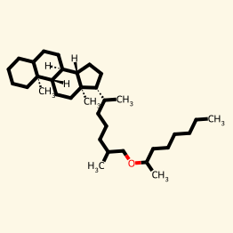 CCCCCCC(C)OCC(C)CCCC(C)[C@H]1CC[C@H]2[C@@H]3CCC4CCCC[C@]4(C)[C@H]3CC[C@]12C